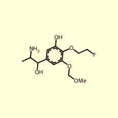 COCOc1cc(C(O)C(C)N)cc(O)c1OCCF